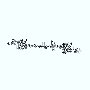 CN(C)CCNc1ccc(O)c2c1C(=O)c1c(O)ccc(NCCOCCNC(N)CCCCC(=N)NCCOCCOCCOCCNc3ccc(O)c4c3C(=O)c3c(O)ccc(NCCN(C)C)c3C4=O)c1C2=O